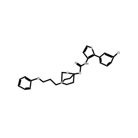 O=C(Nc1ccsc1-c1cccc(Cl)c1)OC12CC[N+](CCCOc3ccccc3)(CC1)CC2